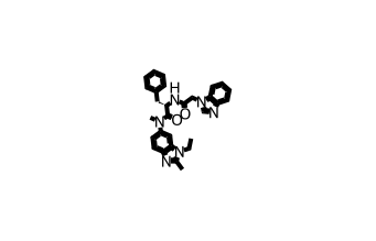 CCn1c(C)nc2ccc(N(C)C(=O)[C@H](Cc3ccccc3)NC(=O)Cn3cnc4ccccc43)cc21